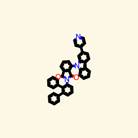 O=C1c2cccc(-n3c4ccccc4c4ccc(-c5ccncc5)cc43)c2C(=O)N1c1cccc(-c2ccccc2)c1-c1ccccc1